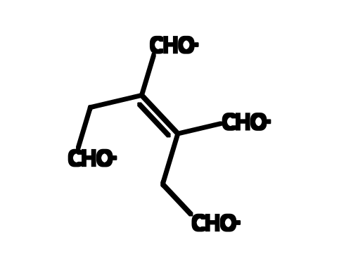 O=[C]CC([C]=O)=C([C]=O)C[C]=O